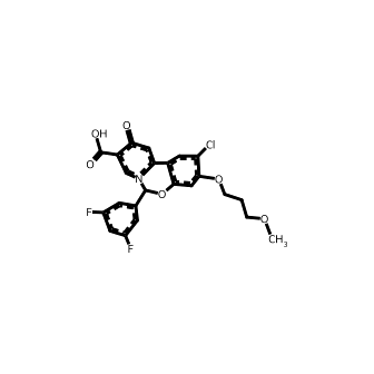 COCCCOc1cc2c(cc1Cl)-c1cc(=O)c(C(=O)O)cn1C(c1cc(F)cc(F)c1)O2